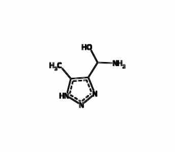 Cc1[nH]nnc1C(N)O